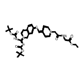 CCOC(=O)CNC(=O)CN1CCC(COc2ccc3c(c2)CN(C(=NC(=O)OC(C)(C)C)NC(=O)OC(C)(C)C)CC3)CC1